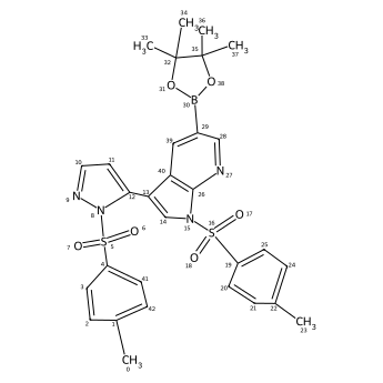 Cc1ccc(S(=O)(=O)n2nccc2-c2cn(S(=O)(=O)c3ccc(C)cc3)c3ncc(B4OC(C)(C)C(C)(C)O4)cc23)cc1